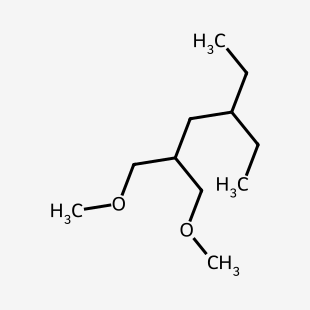 CCC(CC)CC(COC)COC